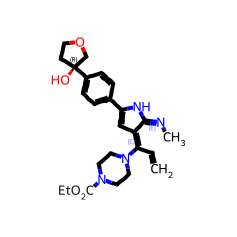 C=C/C(=C1/C=C(c2ccc([C@]3(O)CCOC3)cc2)N/C1=N/C)N1CCN(C(=O)OCC)CC1